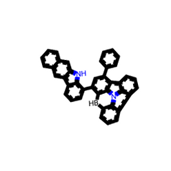 B1c2cccc3c4cccc5c6c(-c7ccccc7)cc(-c7cccc8c7[nH]c7cc9ccccc9cc78)c1c6n(c23)c45